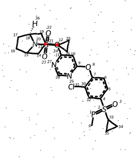 CP=S(=O)(c1ccc(Oc2cc(OC3CC4CC[C@@H](C3)N4S(=O)(=O)C3CC3)ncn2)c(Cl)c1)C1CC1